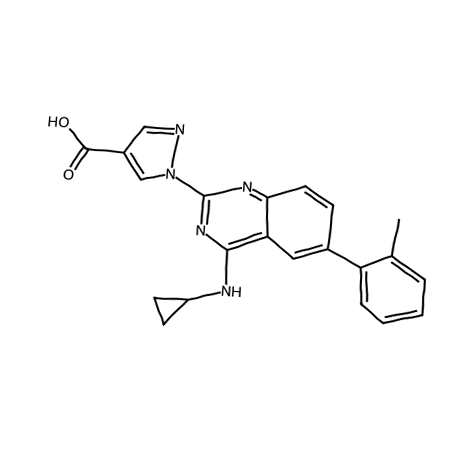 Cc1ccccc1-c1ccc2nc(-n3cc(C(=O)O)cn3)nc(NC3CC3)c2c1